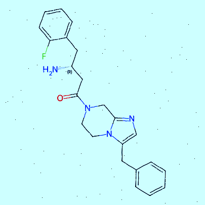 N[C@@H](CC(=O)N1CCn2c(Cc3ccccc3)cnc2C1)Cc1ccccc1F